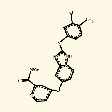 CNC(=O)c1cc(Oc2ccc3[nH]c(Nc4ccc(C)c(Cl)c4)nc3c2)ccn1